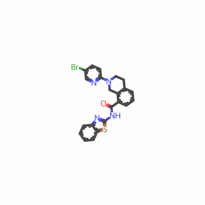 O=C(Nc1nc2ccccc2s1)c1cccc2c1CN(c1ccc(Br)cn1)CC2